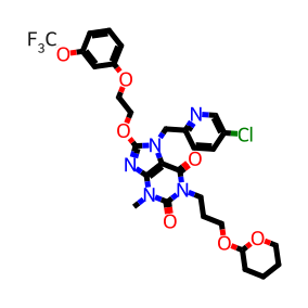 Cn1c(=O)n(CCCOC2CCCCO2)c(=O)c2c1nc(OCCOc1cccc(OC(F)(F)F)c1)n2Cc1ccc(Cl)cn1